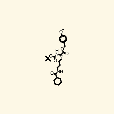 COc1ccc(COC(=O)[C@H](CCCCNC(=O)C2CCCCC2)NC(=O)OC(C)(C)C)cc1